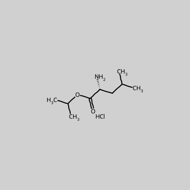 CC(C)C[C@@H](N)C(=O)OC(C)C.Cl